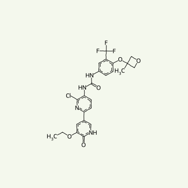 CCOc1cc(-c2ccc(NC(=O)Nc3ccc(OC4(C)COC4)c(C(F)(F)F)c3)c(Cl)n2)c[nH]c1=O